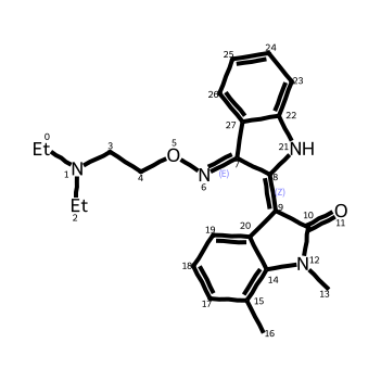 CCN(CC)CCO/N=C1/C(=C2/C(=O)N(C)c3c(C)cccc32)Nc2ccccc21